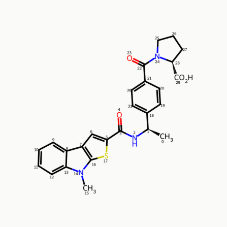 C[C@@H](NC(=O)c1cc2c3ccccc3n(C)c2s1)c1ccc(C(=O)N2CCC[C@H]2C(=O)O)cc1